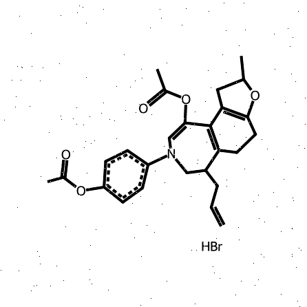 Br.C=CCC1CN(c2ccc(OC(C)=O)cc2)C=C(OC(C)=O)C2=C1CCC1=C2CC(C)O1